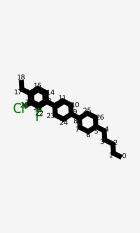 CCCCCC1CCC(C2CC=C(c3ccc(CC)c(Cl)c3F)CC2)CC1